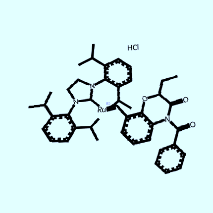 CCC1Oc2c(/[CH]=[Ru]/[CH]3N(c4c(C(C)C)cccc4C(C)C)CCN3c3c(C(C)C)cccc3C(C)C)cccc2N(C(=O)c2ccccc2)C1=O.Cl